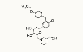 CCOc1ccc(Cc2cc([C@H]3C[C@@H](O)[C@H](O)[C@@H](CN4CCCC(CO)C4)O3)ccc2Cl)cc1